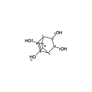 OC1C(O)C2C=CC1C(O)C2O